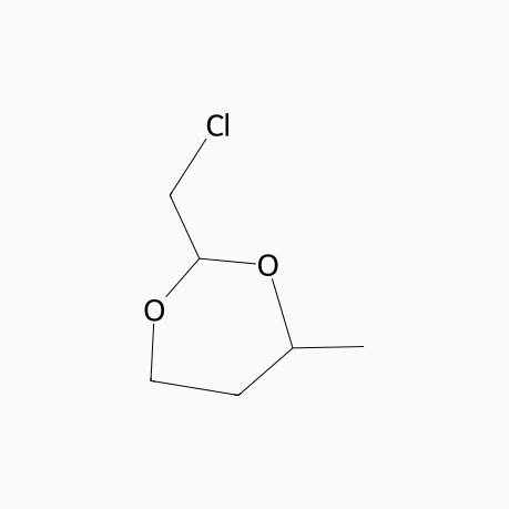 CC1CCOC(CCl)O1